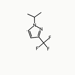 CC(C)n1[c]cc(C(F)(F)F)n1